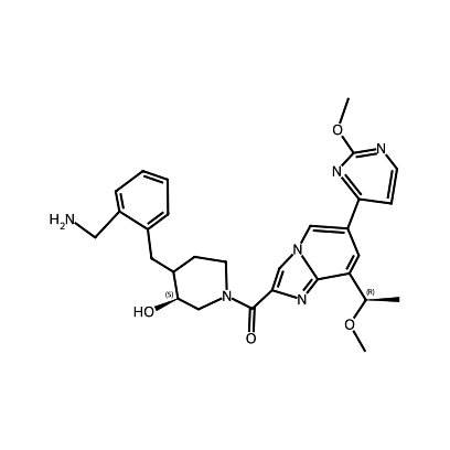 COc1nccc(-c2cc([C@@H](C)OC)c3nc(C(=O)N4CCC(Cc5ccccc5CN)[C@H](O)C4)cn3c2)n1